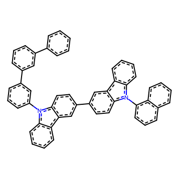 c1ccc(-c2cccc(-c3cccc(-n4c5ccccc5c5cc(-c6ccc7c(c6)c6ccccc6n7-c6cccc7ccccc67)ccc54)c3)c2)cc1